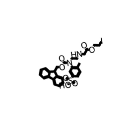 Cc1ccc(S(=O)(=O)O)cc1N(CCNCC(=O)OCCI)C(=O)OCC1c2ccccc2-c2ccccc21